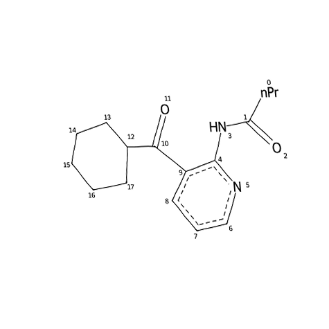 CCCC(=O)Nc1ncccc1C(=O)C1CCCCC1